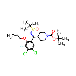 C=CCOc1c(C(=N[S+]([O-])C(C)(C)C)C2CCN(C(=O)OC(C)(C)C)CC2)cc(Cl)c(Cl)c1F